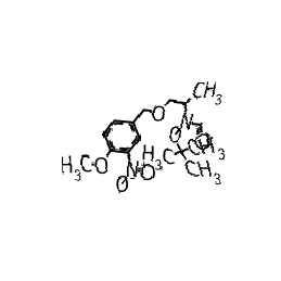 COc1ccc(COC[C@@H](C)N(C=O)OC(C)(C)C)cc1[N+](=O)[O-]